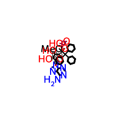 COC(O[P](=O)O)([C@H]1O[C@@H](n2cnc3c(N)ncnc32)[C@H](O)[C@@H]1O)C(c1ccccc1)(c1ccccc1)c1ccccc1